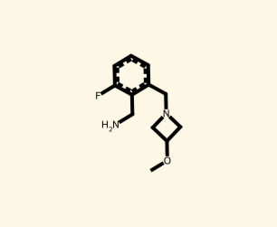 COC1CN(Cc2cccc(F)c2CN)C1